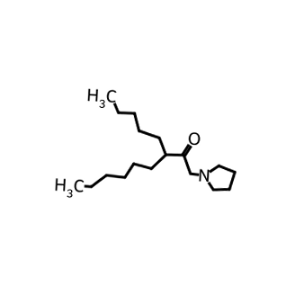 CCCCCCC(CCCCC)C(=O)CN1CCCC1